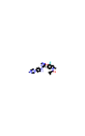 Cc1cc2c(F)c(Oc3ncnc(Nc4ccc(N5CCN(C)CC5)cc4)c3C#N)ccc2n1C(=O)C1CC1